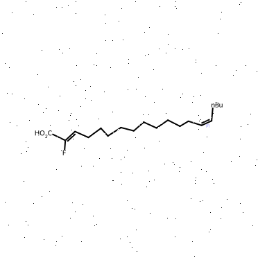 CCCC/C=C\CCCCCCCCCCC=C(F)C(=O)O